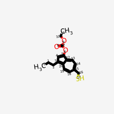 CCCc1cc(OC(=O)OCC)c2ccc(CS)ccc1-2